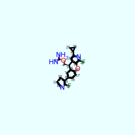 N=C(N)OC[C@@H]1c2cc(-c3cccnc3F)ccc2Oc2c1cc(C1CC1)nc2F